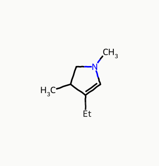 CCC1=CN(C)CC1C